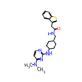 CN(C)c1ccnc(NC2CCC(CNC(=O)Cc3csc4ccccc34)CC2)n1